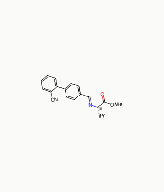 COC(=O)[C@@H](N=Cc1ccc(-c2ccccc2C#N)cc1)C(C)C